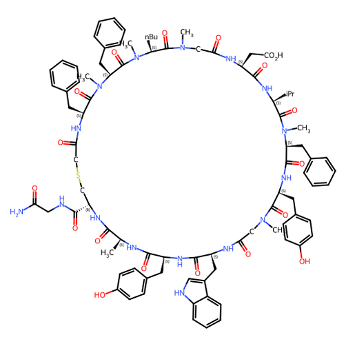 CCCC[C@H]1C(=O)N(C)CC(=O)N[C@@H](CC(=O)O)C(=O)N[C@@H](C(C)C)C(=O)N(C)[C@@H](Cc2ccccc2)C(=O)N[C@@H](Cc2ccc(O)cc2)C(=O)N(C)CC(=O)N[C@@H](Cc2c[nH]c3ccccc23)C(=O)N[C@@H](Cc2ccc(O)cc2)C(=O)N[C@@H](C)C(=O)N[C@H](C(=O)NCC(N)=O)CSCC(=O)N[C@@H](Cc2ccccc2)C(=O)N(C)[C@@H](Cc2ccccc2)C(=O)N1C